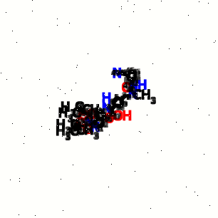 CN(CCc1ccc(C(Nc2ccc3c(N(C(=O)OC(C)(C)C)C(=O)OC(C)(C)C)nccc3c2)C(=O)O)cc1)C(=O)Nc1cccc(C#N)c1